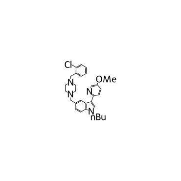 CCCCn1cc(-c2ccc(OC)cn2)c2cc(CN3CCN(Cc4ccccc4Cl)CC3)ccc21